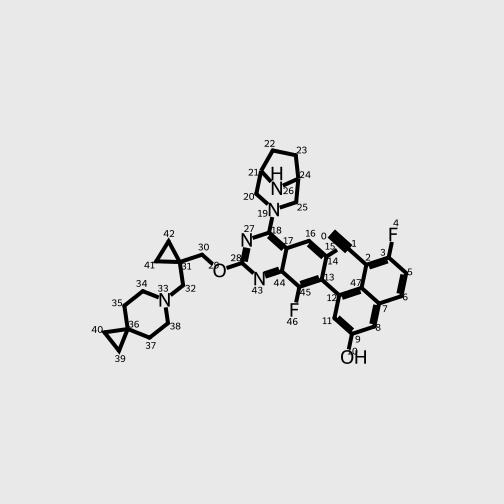 C#Cc1c(F)ccc2cc(O)cc(-c3c(C)cc4c(N5CC6CCC(C5)N6)nc(OCC5(CN6CCC7(CC6)CC7)CC5)nc4c3F)c12